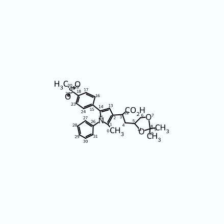 Cc1c(C(CC2COC(C)(C)O2)C(=O)O)cc(-c2ccc(S(C)(=O)=O)cc2)n1-c1ccccc1